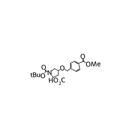 COC(=O)c1ccc(COC2CC(C(=O)O)N(C(=O)OC(C)(C)C)C2)cc1